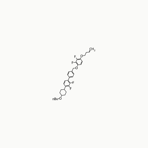 C=CCCOc1ccc(OCc2ccc(-c3ccc(C4CCC(OCCCC)CC4)c(F)c3F)cc2)c(F)c1F